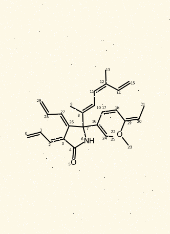 C=C/C=C1/C(=O)NC(/C(C)=C/C=C(/C)C=C)(C(/C=C\C(=C/C)OC)=C/C)/C1=C/C=C